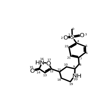 CS(=O)(=O)c1ccc(CC2CC(c3cc(=O)[nH]o3)CCN2)cc1